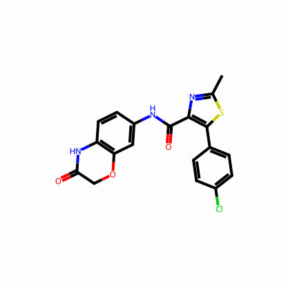 Cc1nc(C(=O)Nc2ccc3c(c2)OCC(=O)N3)c(-c2ccc(Cl)cc2)s1